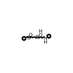 O=C(CCCOCC(O)CCNc1ccccc1)OCc1ccccc1